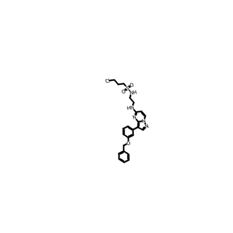 O=S(=O)(CCCCl)NCCNc1ccn2ncc(-c3cccc(OCc4ccccc4)c3)c2n1